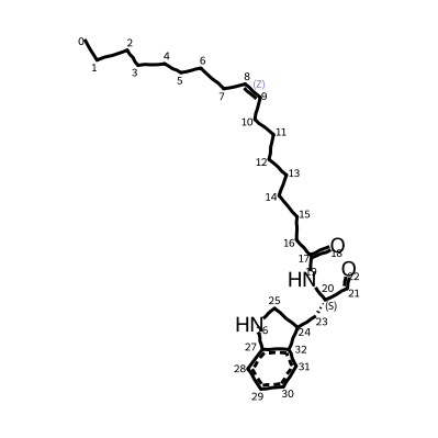 CCCCCCCC/C=C\CCCCCCCC(=O)N[C@H](C=O)CC1CNc2ccccc21